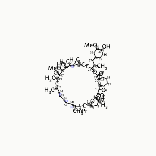 CCCC1C[C@@H]2CC[C@@H](C)[C@@](O)(O2)C(=O)C(=O)N2CCCC[C@H]2C(=O)O[C@H]([C@H](C)C[C@@H]2CC[C@@H](O)[C@H](OC)C2)CC[C@H](C)/C=C(\C)[C@@H](O)[C@@H](OC)C(=O)[C@H](C)C[C@H](C)/C=C/C=C/C=C/1C